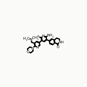 CN(C)Cc1cc(-c2cc(-c3ccc4c(c3)CCNC4=O)c(N)nc2F)cnc1N1CCOCC1